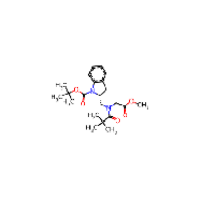 COC(=O)CN(C[C@H]1Cc2ccccc2N1C(=O)OC(C)(C)C)C(=O)C(C)(C)C